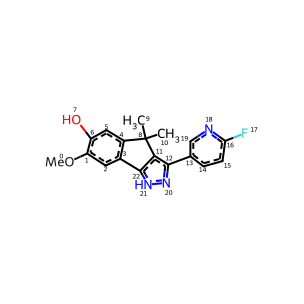 COc1cc2c(cc1O)C(C)(C)c1c(-c3ccc(F)nc3)n[nH]c1-2